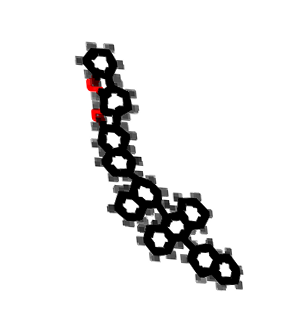 c1ccc2cc(-c3c4ccccc4c(-c4ccc(-c5ccc6cc7oc8c(ccc9c%10ccccc%10oc98)c7cc6c5)c5ccccc45)c4ccccc34)ccc2c1